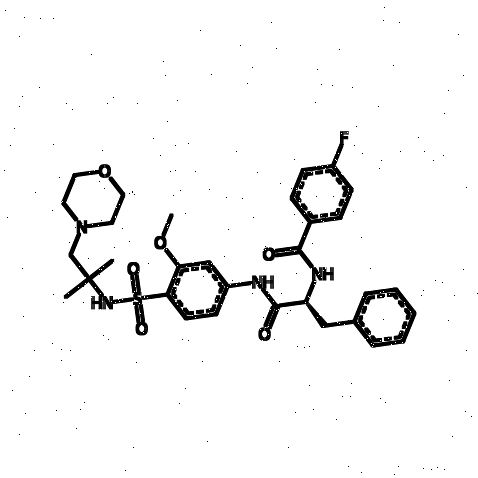 COc1cc(NC(=O)[C@H](Cc2ccccc2)NC(=O)c2ccc(F)cc2)ccc1S(=O)(=O)NC(C)(C)CN1CCOCC1